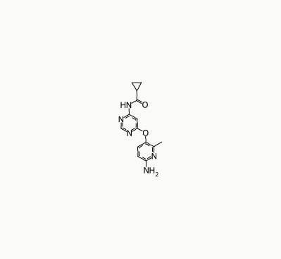 Cc1nc(N)ccc1Oc1cc(NC(=O)C2CC2)ncn1